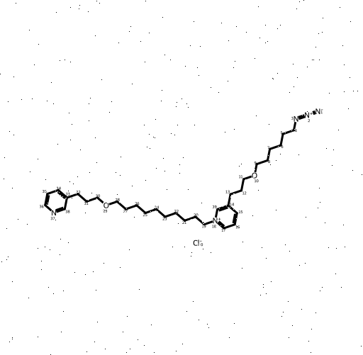 [Cl-].[N-]=[N+]=NCCCCCCOCCCc1ccc[n+](CCCCCCCCCCOCCCc2cccnc2)c1